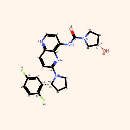 O=C(Nc1ccnc2ccc(N3CCC[C@@H]3c3cc(F)ccc3F)nc12)N1CC[C@H](O)C1